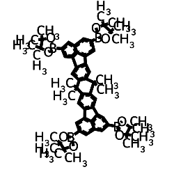 CC1(C)c2cc3c(cc2C(C)(C)c2cc4c(cc21)-c1cc(B2OC(C)(C)C(C)(C)O2)cc2cc(B5OC(C)(C)C(C)(C)O5)cc-4c12)-c1cc(B2OC(C)(C)C(C)(C)O2)cc2cc(B4OC(C)(C)C(C)(C)O4)cc-3c12